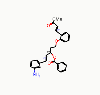 COC(=O)/C=C/c1ccccc1OCC[C@H](/C=C/c1cccc(N)c1)OC(=O)c1ccccc1